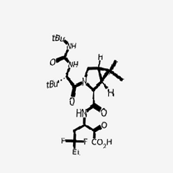 CCC(F)(F)CC(NC(=O)[C@@H]1[C@@H]2[C@H](CN1C(=O)[C@@H](NC(=O)NC(C)(C)C)C(C)(C)C)C2(C)C)C(=O)C(=O)O